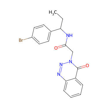 CCC(NC(=O)Cn1nnc2ccccc2c1=O)c1ccc(Br)cc1